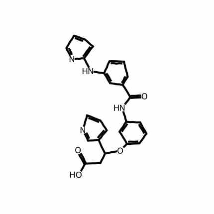 O=C(O)CC(Oc1cccc(NC(=O)c2cccc(Nc3ccccn3)c2)c1)c1cccnc1